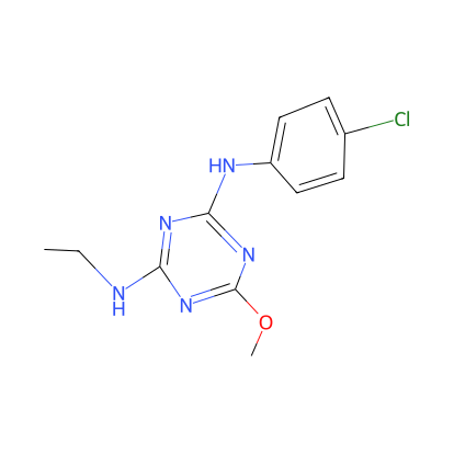 CCNc1nc(Nc2ccc(Cl)cc2)nc(OC)n1